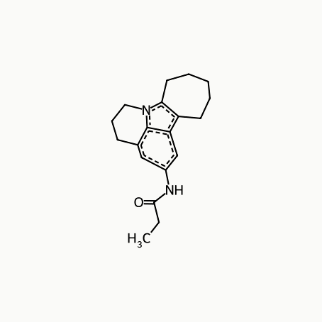 CCC(=O)Nc1cc2c3c(c1)c1c(n3CCC2)CCCCC1